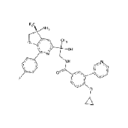 CC(O)(CNC(=O)c1ccc(OC2CC2)c(-c2cccnc2)c1)c1cc2c(c(-c3ccc(F)cc3)n1)OC[C@@]2(N)C(F)(F)F